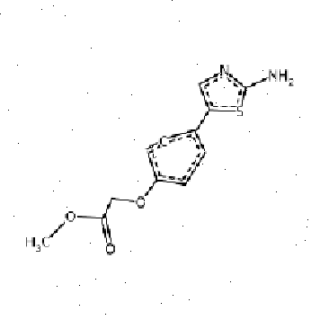 COC(=O)COc1ccc(-c2cnc(N)s2)cc1